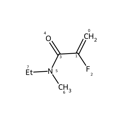 C=C(F)C(=O)N(C)CC